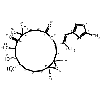 CC(=Cc1csc(C)n1)[C@@H]1C[C@@H]2O[C@]2(C)CCC[C@H](C)[C@H](O)[C@@H](C)C(=O)C(C)(C)CCC(=O)O1